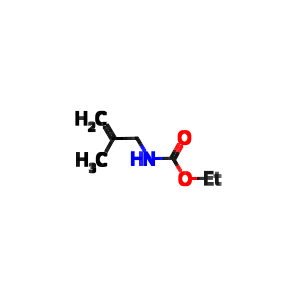 C=C(C)CNC(=O)OCC